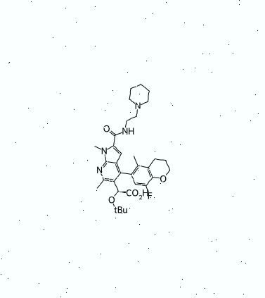 Cc1nc2c(cc(C(=O)NCCN3CCCCC3)n2C)c(-c2cc(F)c3c(c2C)CCCO3)c1[C@H](OC(C)(C)C)C(=O)O